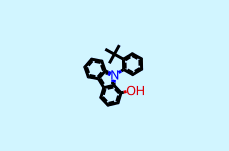 CC(C)(C)c1ccccc1-n1c2ccccc2c2cccc(O)c21